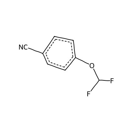 N#Cc1ccc(OC(F)F)cc1